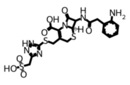 Nc1ccccc1CC(=O)NC1C(=O)N2C(C(=O)O)=C(CSc3nc(CS(=O)(=O)O)n[nH]3)CS[C@H]12